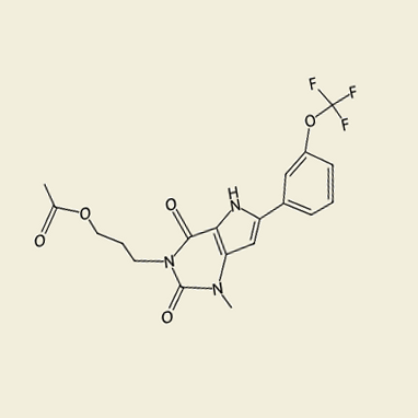 CC(=O)OCCCn1c(=O)c2[nH]c(-c3cccc(OC(F)(F)F)c3)cc2n(C)c1=O